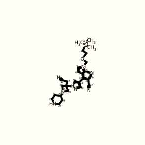 CS(C)(C)CCOCn1ccc2c(-c3cnn(C4(CC#N)CN(C5CCNCC5)C4)c3)c(C#N)cnc21